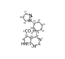 O=C(O)c1c[nH]c2ncnc(-c3cccc(-n4cccn4)c3)c12